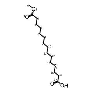 COC(=O)CCCCCCCCCCSCCC(=O)O